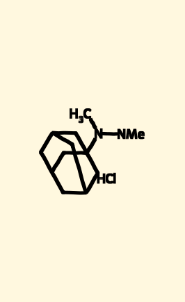 CNN(C)C12CC3CC(CC(C3)C1)C2.Cl